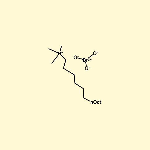 CCCCCCCCCCCCCC[N+](C)(C)C.[O-][Br+2]([O-])[O-]